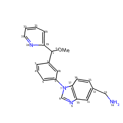 COC(c1cccc(-n2cnc3cc(CN)ccc32)c1)c1ccccn1